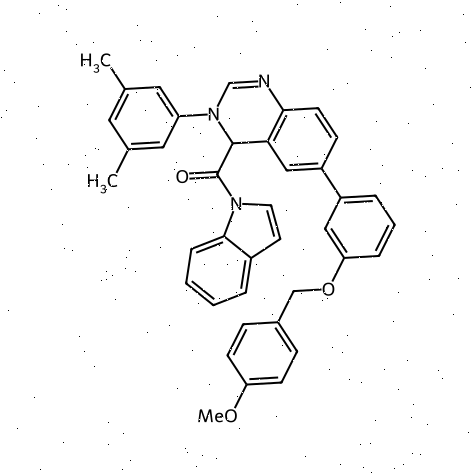 COc1ccc(COc2cccc(-c3ccc4c(c3)C(C(=O)n3ccc5ccccc53)N(c3cc(C)cc(C)c3)C=N4)c2)cc1